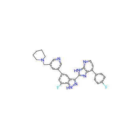 Fc1ccc(-c2ccnc3[nH]c(-c4n[nH]c5c(F)cc(-c6cncc(CN7CCCCC7)c6)cc45)nc23)cc1